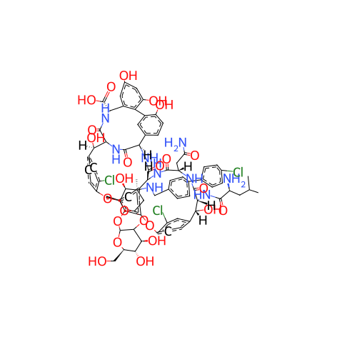 CC(C)C[C@H](N)C(=O)N[C@H]1C(=O)N[C@@H](CC(N)=O)C(=O)N[C@H]2C(=O)N[C@H]3C(=O)NC(C(=O)N[C@H](C(=O)O)c4cc(O)cc(O)c4-c4cc3ccc4O)[C@H](O)c3ccc(c(Cl)c3)Oc3cc2cc(c3OC2O[C@H](CO)[C@@H](O)[C@H](O)C2O[C@H]2C[C@](C)(NCc3ccc(-c4ccc(Cl)cc4)cc3)[C@H](O)[C@H](C)O2)Oc2ccc(cc2Cl)[C@H]1O